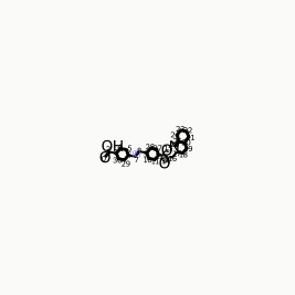 O=C(O)c1ccc(/C=C/c2ccc(S(=O)(=O)Cc3ccc4ccccc4n3)cc2)cc1